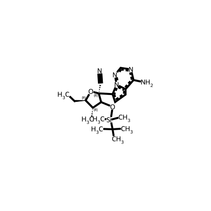 CC[C@H]1O[C@@](C#N)(c2ccc3c(N)ncnn23)C(O[Si](C)(C)C(C)(C)C)[C@@H]1C